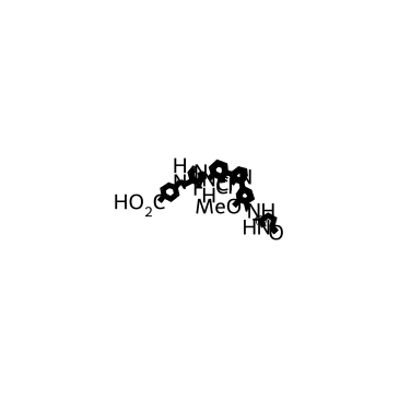 COc1cc(-c2nccc(-c3cccc(Nc4nccc(CNC5CCC(C(=O)O)CC5)c4F)c3Cl)c2Cl)ccc1CNC[C@H]1CCC(=O)N1